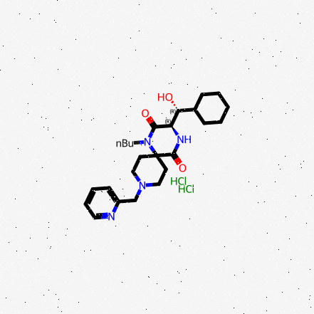 CCCCN1C(=O)[C@@H]([C@H](O)C2CCCCC2)NC(=O)C12CCN(Cc1ccccn1)CC2.Cl.Cl